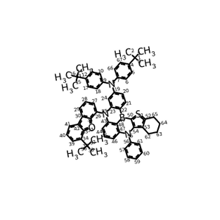 CC(C)(C)c1ccc(N(c2ccc(C(C)(C)C)cc2)c2ccc3c(c2)N(c2cccc4c2oc2c(C(C)(C)C)cccc24)c2cccc4c2B3c2sc3c(c2N4c2ccccc2)CCCC3)cc1